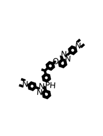 CCN(CC)c1ccc(-c2ncc3c(Oc4ccc(C(C)c5ccc(Pc6nc(-c7ccc(N(CC)CC)cc7)nc7ccccc67)cc5)cc4)cccc3n2)cc1